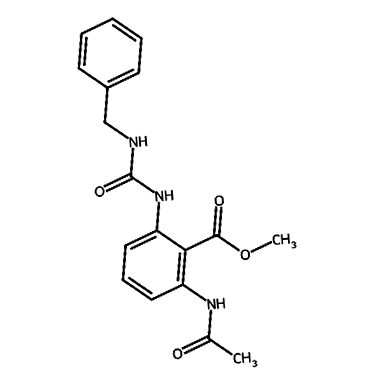 COC(=O)c1c(NC(C)=O)cccc1NC(=O)NCc1ccccc1